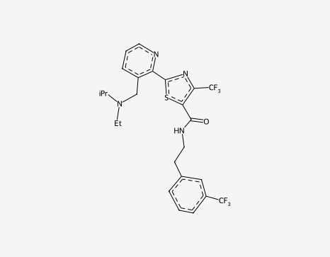 CCN(Cc1cccnc1-c1nc(C(F)(F)F)c(C(=O)NCCc2cccc(C(F)(F)F)c2)s1)C(C)C